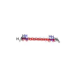 C=C(C)C(=O)NCCCNC(=O)CCOCCOCCOCCOCCOCCOCCOCCOCCOCCOCCOCCC(=O)NCCCNC(=O)C(=C)C